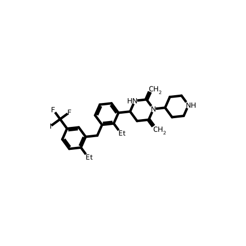 C=C1CC(c2cccc(Cc3cc(C(F)(F)I)ccc3CC)c2CC)NC(=C)N1C1CCNCC1